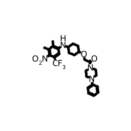 Cc1c(NC2CCC(OCC(=O)N3CCN(c4ccccc4)CC3)CC2)cc(C(F)(F)F)c([N+](=O)[O-])c1C